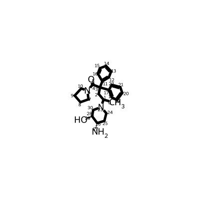 CC(CC(C(=O)N1CCCC1)(c1ccccc1)c1ccccc1)N1CC[C@H](N)[C@@H](O)C1